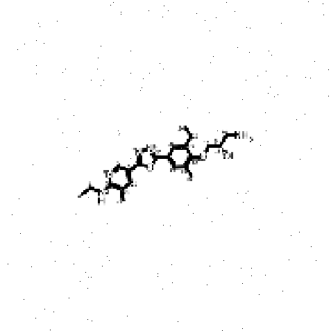 CCNc1ncc(-c2nnc(-c3cc(C)c(OC[C@@H](O)CN)c(CC)c3)o2)cc1C